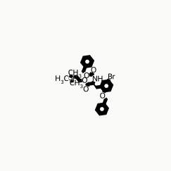 C[Si](C)(C)CCOC(=O)[C@H](Cc1cc(Br)ccc1OCc1ccccc1)NC(=O)OCc1ccccc1